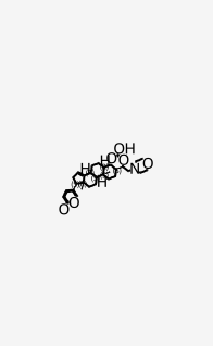 C[C@]12CC[C@H](C(CN3CCOCC3)OC(=O)O)C[C@H]1CC[C@H]1C3=CC[C@H](c4ccc(=O)oc4)[C@@]3(C)CC[C@@H]12